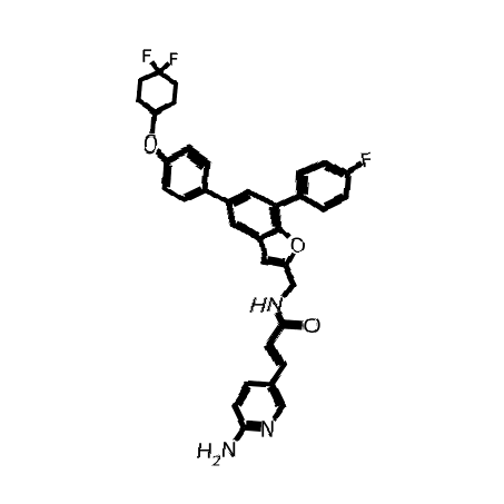 Nc1ccc(C=CC(=O)NCc2cc3cc(-c4ccc(OC5CCC(F)(F)CC5)cc4)cc(-c4ccc(F)cc4)c3o2)cn1